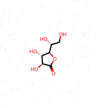 O=C1O[C@H]([C@H](O)CO)[C@@H](O)[C@@H]1O